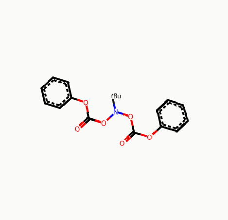 CC(C)(C)N(OC(=O)Oc1ccccc1)OC(=O)Oc1ccccc1